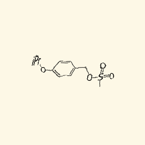 CC(C)Oc1ccc(COS(C)(=O)=O)cc1